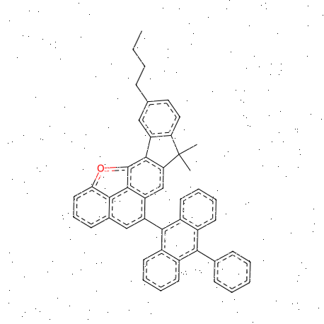 CCCCc1ccc2c(c1)-c1c(cc3c(-c4c5ccccc5c(-c5ccccc5)c5ccccc45)cc4cccc5oc1c3c45)C2(C)C